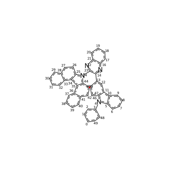 c1ccc(-n2c3ccccc3c3cc(-c4nc5ccccc5nc4-n4c5ccc6ccccc6c5c5c6ccccc6ccc54)ccc32)cc1